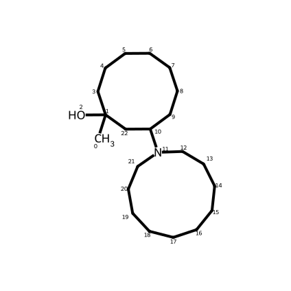 CC1(O)CCCCCCCC(N2CCCCCCCCCC2)C1